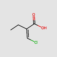 CCC(=CCl)C(=O)O